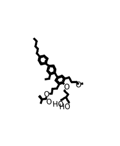 C=C(C)C(=O)OCCCc1cc(-c2ccc(-c3ccc(CCCCC)cc3)cc2CC)cc(CCCOC)c1OCCC(CO)CO